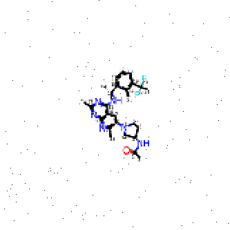 CC(=O)N[C@@H]1CCN(c2cc3c(N[C@H](C)c4cccc(C(C)(F)F)c4C)nc(C)nc3nc2C)C1